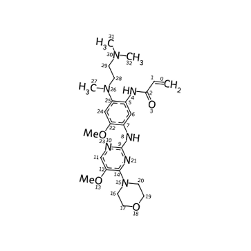 C=CC(=O)Nc1cc(Nc2ncc(OC)c(N3CCOCC3)n2)c(OC)cc1N(C)CCN(C)C